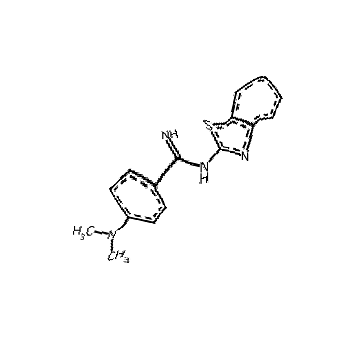 CN(C)c1ccc(C(=N)Nc2nc3ccccc3s2)cc1